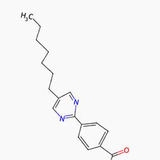 CCCCCCCc1cnc(-c2ccc(C(=O)O)cc2)nc1